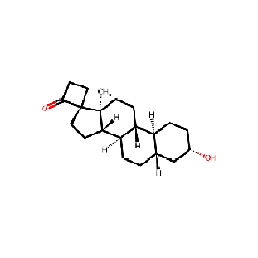 C[C@]12CC[C@H]3[C@@H](CC[C@H]4C[C@@H](O)CC[C@@H]43)[C@@H]1CC[C@@]21CCC1=O